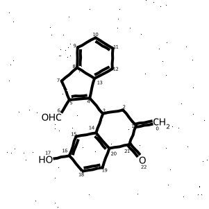 C=C1CC(C2=C(C=O)Cc3ccccc32)c2cc(O)ccc2C1=O